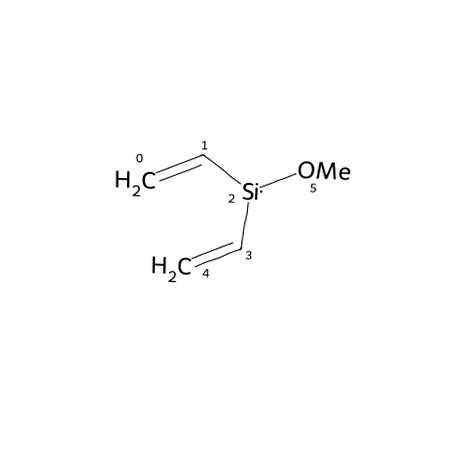 C=C[Si](C=C)OC